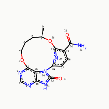 C[C@@H]1CCCOc2ncnc3[nH]c(=O)n(c23)-c2ccc(C(N)=O)c(n2)O1